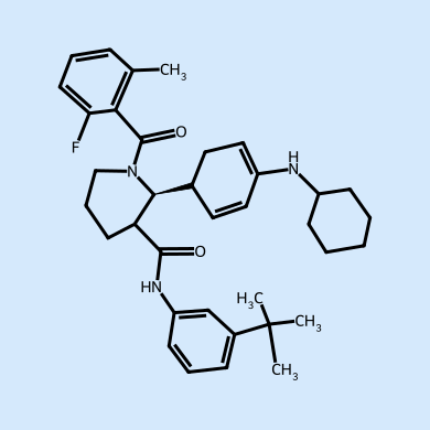 Cc1cccc(F)c1C(=O)N1CCCC(C(=O)Nc2cccc(C(C)(C)C)c2)[C@@H]1C1C=CC(NC2CCCCC2)=CC1